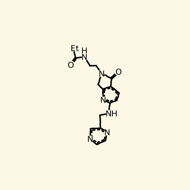 CCC(=O)NCCN1Cc2nc(NCc3cnccn3)ccc2C1=O